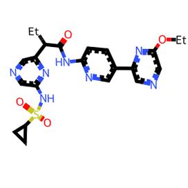 CCOc1cncc(-c2ccc(NC(=O)C(CC)c3cncc(NS(=O)(=O)C4CC4)n3)nc2)n1